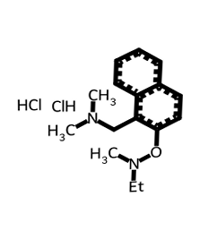 CCN(C)Oc1ccc2ccccc2c1CN(C)C.Cl.Cl